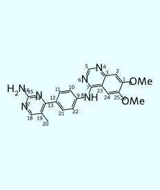 COc1cc2ncnc(Nc3ccc(-c4nc(N)ncc4C)cc3)c2cc1OC